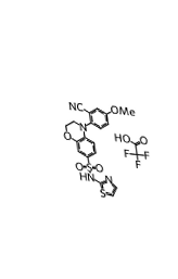 COc1ccc(N2CCOc3cc(S(=O)(=O)Nc4nccs4)ccc32)c(C#N)c1.O=C(O)C(F)(F)F